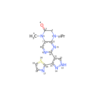 CC(C)N1CC(=O)N(C)c2cnc(-c3c[nH]nc3-c3nccs3)nc21